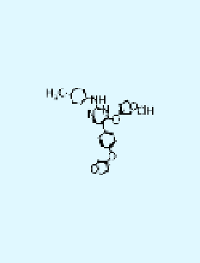 C[C@H]1CC[C@@H](Nc2ncc(-c3ccc(O[C@H]4CCOC4)cc3)c(O[C@@H]3CCOC3)n2)CC1.Cl